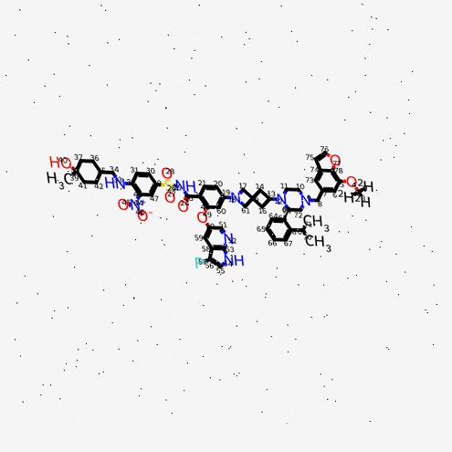 [2H]C([2H])([2H])Oc1cc(CN2CCN(C3CC4(C3)CN(c3ccc(C(=O)NS(=O)(=O)c5ccc(NCC6CCC(C)(O)CC6)c([N+](=O)[O-])c5)c(Oc5cnc6[nH]cc(F)c6c5)c3)C4)[C@H](c3ccccc3C(C)C)C2)cc2ccoc12